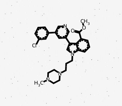 COC(=O)c1cccc2c1c(-c1cncc(-c3cccc(Cl)c3)c1)cn2CCCN1CCN(C)CC1